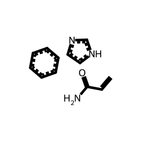 C=CC(N)=O.c1c[nH]cn1.c1ccccc1